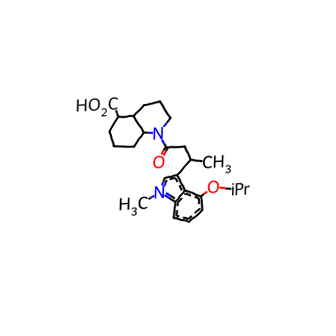 CC(C)Oc1cccc2c1c(C(C)CC(=O)N1CCCC3C(C(=O)O)CCCC31)cn2C